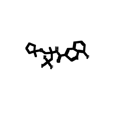 CC(COC1(C)CCCC1)(CC(F)(F)F)NC(=O)c1cnc2c(F)cccc2c1